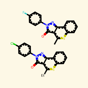 CCc1sc2ccccc2c2nn(-c3ccc(Cl)cc3)c(=O)c1-2.Cc1sc2ccccc2c2nn(-c3ccc(F)cc3)c(=O)c1-2